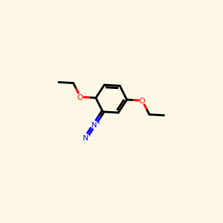 CCOC1=CC(=[N+]=[N-])C(OCC)C=C1